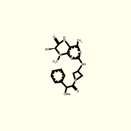 COC(C(=O)N1CC(Nc2nc(C)c3c(n2)N(C)[C@@H](C(C)C)C(=O)N3)C1)c1ccccc1